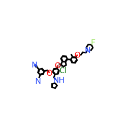 Cc1c(OCCCN2CCC(F)CC2)cccc1-c1cccc2c1CC[C@@H]2Oc1cc(OCc2cc(C#N)cc(C#N)c2)c(CNC2CCCC2)cc1Cl